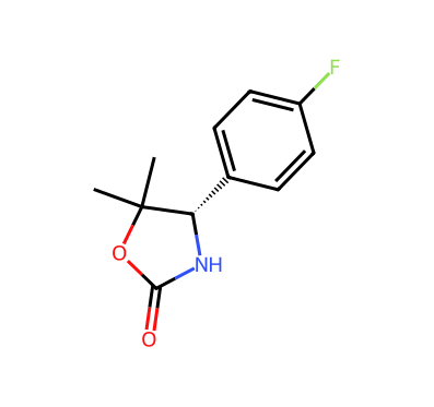 CC1(C)OC(=O)N[C@H]1c1ccc(F)cc1